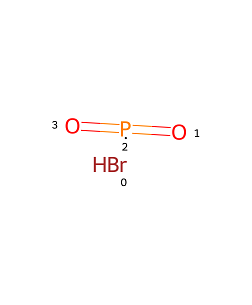 Br.O=[P]=O